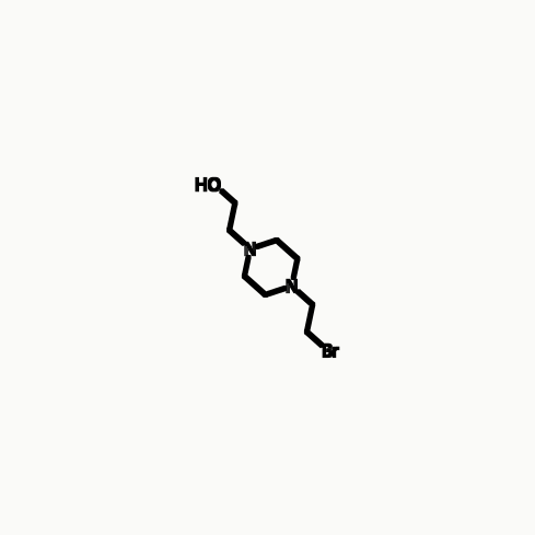 OCCN1CCN(CCBr)CC1